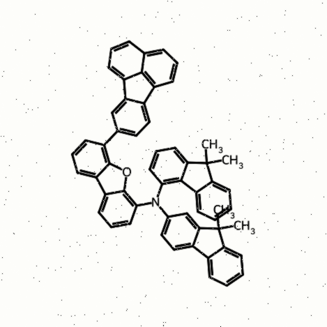 CC1(C)c2ccccc2-c2ccc(N(c3cccc4c3-c3ccccc3C4(C)C)c3cccc4c3oc3c(-c5ccc6c(c5)-c5cccc7cccc-6c57)cccc34)cc21